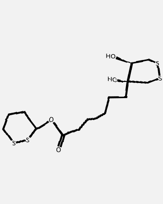 O=C(CCCCC[C@@]1(O)CSSC[C@@H]1O)OC1CCCSS1